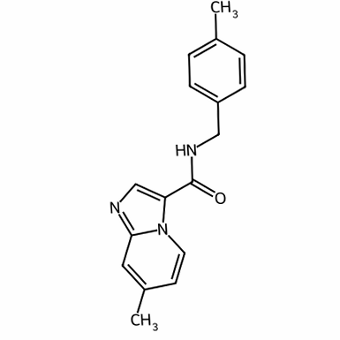 Cc1ccc(CNC(=O)c2cnc3cc(C)ccn23)cc1